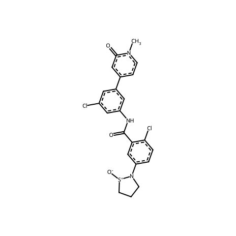 Cn1ccc(-c2cc(Cl)cc(NC(=O)c3cc(N4CCC[S+]4[O-])ccc3Cl)c2)cc1=O